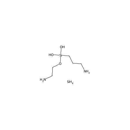 NCCC[Si](O)(O)OCCN.[SiH4]